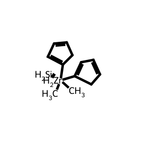 [CH3][ZrH2]([CH3])(=[SiH2])([C]1=CC=CC1)[C]1=CC=CC1